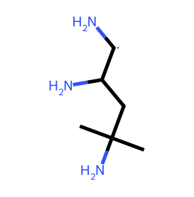 CC(C)(N)CC(N)[CH]N